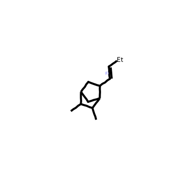 CC/C=C/C1CC2CC1C(C)C2C